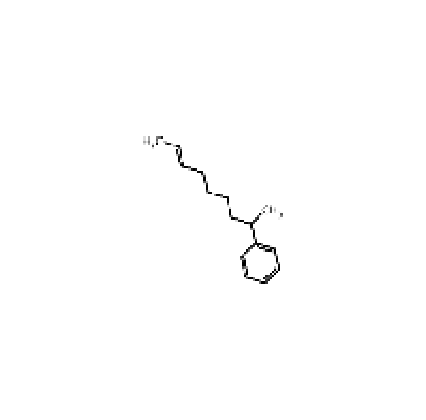 C/C=C/CCCCC(C)c1ccccc1